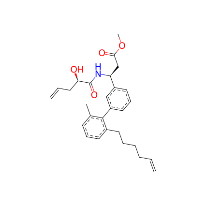 C=CCCCCc1cccc(C)c1-c1cccc([C@H](CC(=O)OC)NC(=O)[C@H](O)CC=C)c1